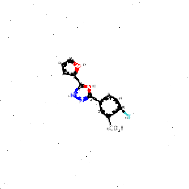 O=C(O)c1cc(-c2nnc(-c3ccco3)o2)ccc1F